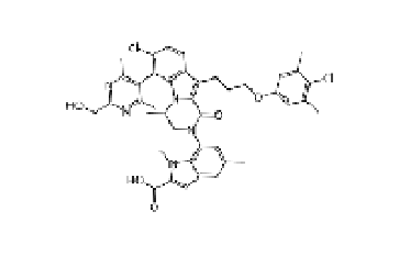 Cc1cc(N2CC(C)n3c(c(CCCOc4cc(C)c(Cl)c(C)c4)c4ccc(Cl)c(-c5c(C)nc(CO)nc5C)c43)C2=O)c2c(c1)cc(C(=O)O)n2C